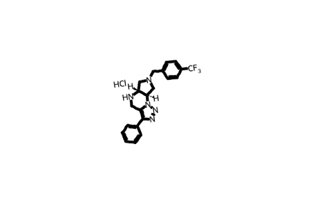 Cl.FC(F)(F)c1ccc(CN2C[C@@H]3[C@@H](C2)NCc2c(-c4ccccc4)nnn23)cc1